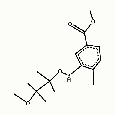 COC(=O)c1ccc(C)c(BOC(C)(C)C(C)(C)OC)c1